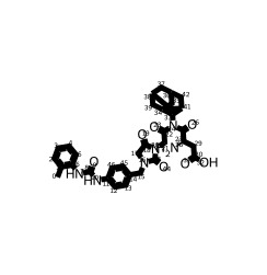 Cc1ccccc1NC(=O)Nc1ccc(CN2CC(=O)N(CC(=O)N(C(=O)[C@@H](N)CC(=O)O)C3C4CC5CC(C4)CC3C5)C2=O)cc1